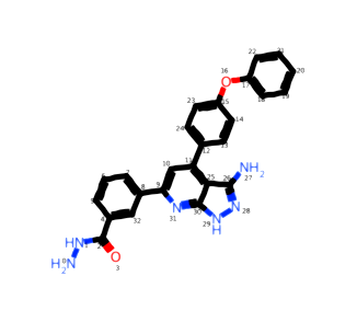 NNC(=O)c1cccc(-c2cc(-c3ccc(Oc4ccccc4)cc3)c3c(N)n[nH]c3n2)c1